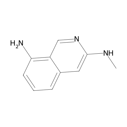 CNc1cc2cccc(N)c2cn1